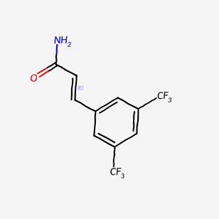 NC(=O)/C=C/c1cc(C(F)(F)F)cc(C(F)(F)F)c1